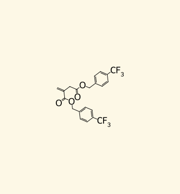 C=C(CC(=O)OCc1ccc(C(F)(F)F)cc1)C(=O)OCc1ccc(C(F)(F)F)cc1